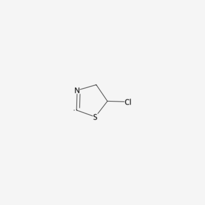 ClC1CN=[C]S1